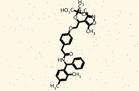 Cc1ccc(C(NC(=O)Cc2ccc(OCC(OC(C)(C)C(=O)O)c3c(C)noc3C)cc2)c2ccccc2)c(C)c1